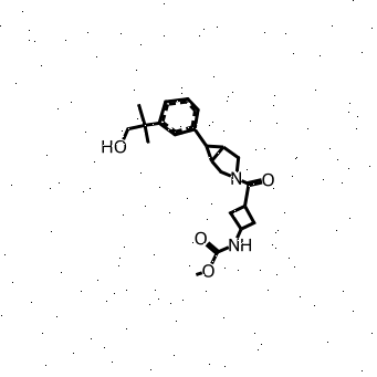 COC(=O)NC1CC(C(=O)N2CC3C(C2)C3c2cccc(C(C)(C)CO)c2)C1